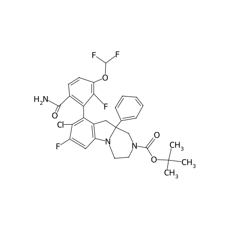 CC(C)(C)OC(=O)N1CCN2c3cc(F)c(Cl)c(-c4c(C(N)=O)ccc(OC(F)F)c4F)c3CC2(c2ccccc2)C1